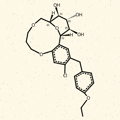 CCOc1ccc(Cc2cc3c(cc2Cl)OCCCOC[C@H]2O[C@@H]3[C@H](O)[C@@H](O)[C@@H]2O)cc1